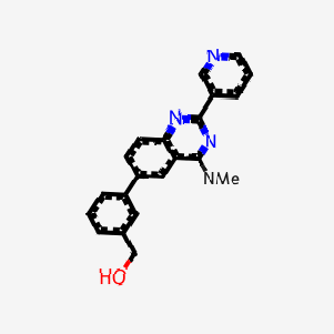 CNc1nc(-c2cccnc2)nc2ccc(-c3cccc(CO)c3)cc12